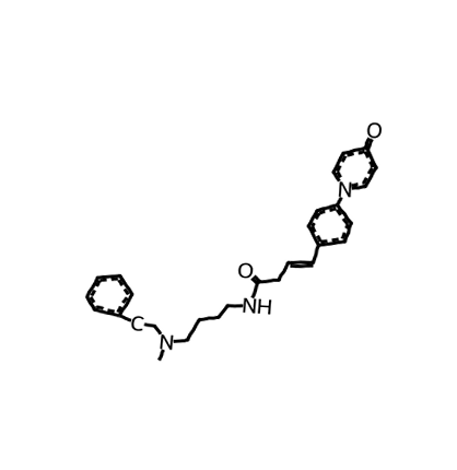 CN(CCCCNC(=O)C/C=C/c1ccc(-n2ccc(=O)cc2)cc1)CCc1ccccc1